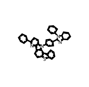 C1=CC2=NC(c3ccc(-n4c5ccc(-c6ccccc6)nc5c5ccc6sc7ccccc7c6c54)cc3)N(c3ccccc3)C2C=C1